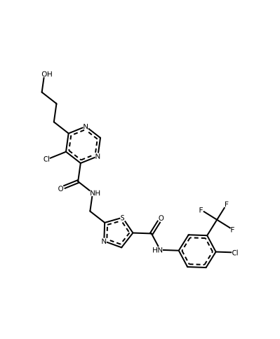 O=C(Nc1ccc(Cl)c(C(F)(F)F)c1)c1cnc(CNC(=O)c2ncnc(CCCO)c2Cl)s1